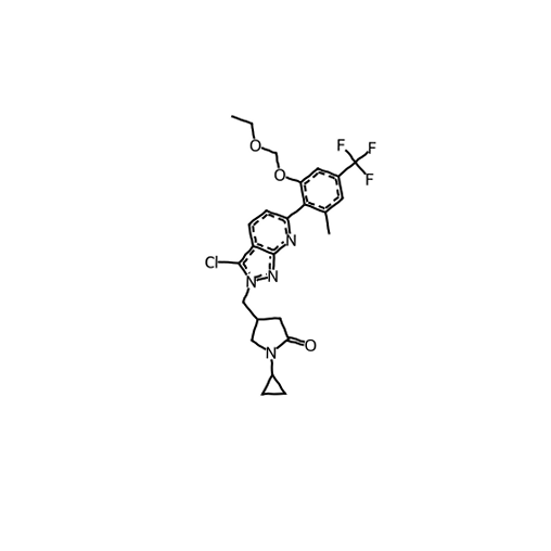 CCOCOc1cc(C(F)(F)F)cc(C)c1-c1ccc2c(Cl)n(CC3CC(=O)N(C4CC4)C3)nc2n1